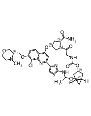 CC(C)Nc1nc(-c2cc(O[C@@H]3C[C@@H](C(N)=O)N(C(=O)CNC(=O)O[C@@H]4C[C@@H]5C[C@@H]5C4)C3)c3ccc(OC[C@H]4COCCN4C)c(Cl)c3n2)cs1